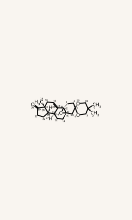 CC1(C)COC2(CC[C@@]34O[C@@]3(CC[C@@H]3C4=CC[C@@]4(C)C(=O)CC[C@@H]34)C2)OC1